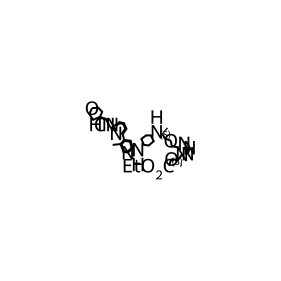 CCOC(=O)O[C@@H](C)n1nnnc1COC[C@H](C)N[C@H]1CC[C@H](Nc2cc(-c3cccc(NCC4(C#N)CCOCC4)n3)c(C)cn2)CC1